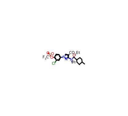 CCOC(=O)c1cn(-c2ccc(OS(=O)(=O)C(F)(F)F)c(Cl)c2)nc1N(C(=O)C1CCC(C)CC1)C(C)C